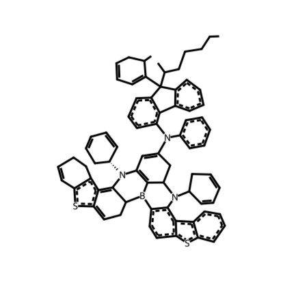 CCCCCC(C)C1(C2=CC=CCC2C)c2ccccc2-c2c(N(C3=CC4=C5B(c6ccc7sc8ccccc8c7c6N(C6C=CC=CC6)C5C3)C3CC=c5sc6c(c5=C3N4[C@H]3C=CC=CC3)CCC=C6)c3ccccc3)cccc21